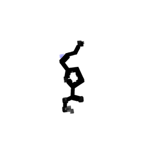 COC(=O)c1ccc(/C=C\CBr)s1